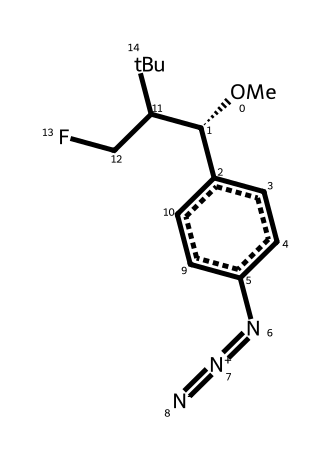 CO[C@H](c1ccc(N=[N+]=[N-])cc1)C(CF)C(C)(C)C